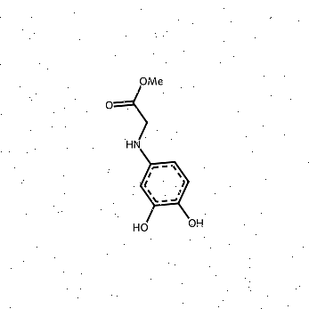 COC(=O)CNc1ccc(O)c(O)c1